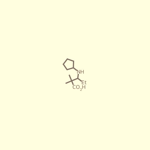 CCC(NC1CCCC1)C(C)(C)C(=O)O